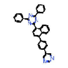 c1ccc(-c2nc(-c3ccccc3)nc(-c3ccc(-c4ccc(-c5cncnc5)cc4)c4ccccc34)n2)cc1